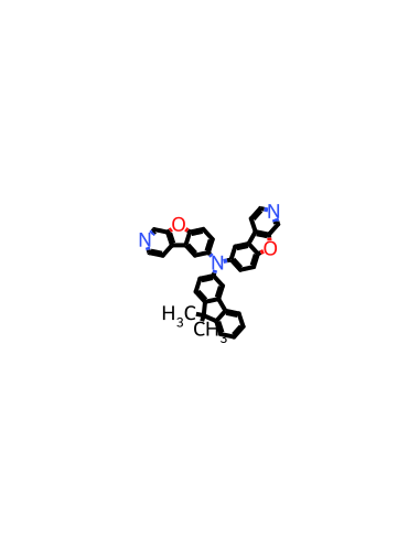 CC1(C)c2ccccc2-c2cc(N(c3ccc4oc5cnccc5c4c3)c3ccc4oc5cnccc5c4c3)ccc21